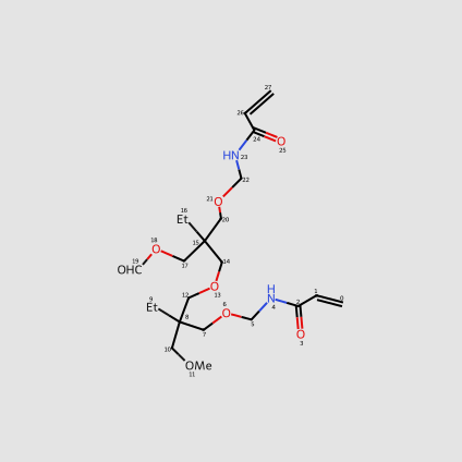 C=CC(=O)NCOCC(CC)(COC)COCC(CC)(COC=O)COCNC(=O)C=C